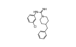 N=C(Nc1cccc(Cl)c1)N1CCC(Cc2ccccc2)CC1